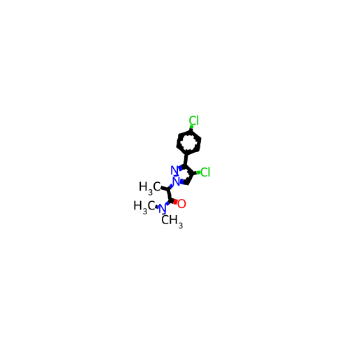 CC(C(=O)N(C)C)n1cc(Cl)c(-c2ccc(Cl)cc2)n1